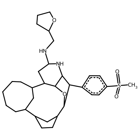 CS(=O)(=O)c1ccc(C2C3NC(NCC4CCCO4)CC4C5CCCCCC(C5)C5CCC(C5)C2OC43)cc1